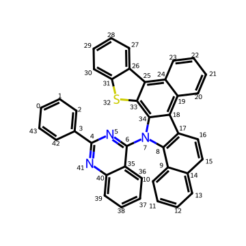 c1ccc(-c2nc(-n3c4c5ccccc5ccc4c4c5ccccc5c5c6ccccc6sc5c43)c3ccccc3n2)cc1